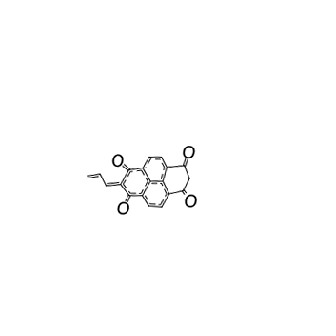 C=CC=c1c(=O)c2ccc3c4c(ccc(c1=O)c42)C(=O)CC3=O